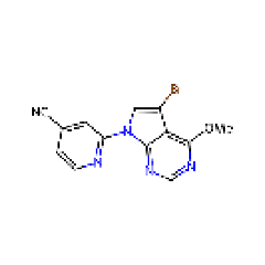 COc1ncnc2c1c(Br)cn2-c1cc(C#N)ccn1